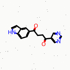 O=C(CCC(=O)c1ccc2[nH]ccc2c1)c1cncnc1